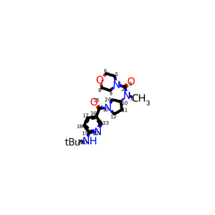 CN(C(=O)N1CCOCC1)[C@H]1CCN(C(=O)c2ccc(NC(C)(C)C)nc2)C1